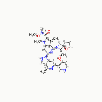 COc1ccncc1-c1cc2c(cnn2-c2cc3c(c(N4CC5(CCCO5)C4)n2)c(C)c(C(=O)N(C)OC)n3C)c(C)n1